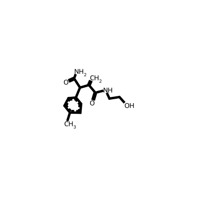 C=C(C(=O)NCCO)C(C(N)=O)c1ccc(C)cc1